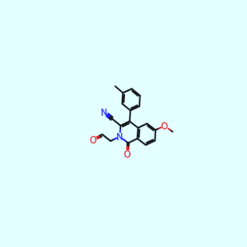 COc1ccc2c(=O)n(CC=O)c(C#N)c(-c3cccc(C)c3)c2c1